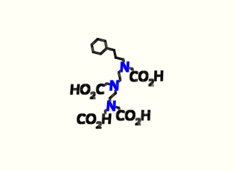 O=C(O)CN(CCCC1CCCCC1)CCN(CCN(CC(=O)O)CC(=O)O)CC(=O)O